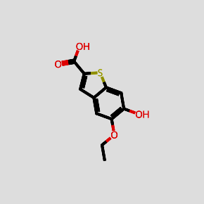 CCOc1cc2cc(C(=O)O)sc2cc1O